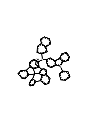 CCc1ccc2cccc3c2c1C1(c2ccccc2-c2ccc(N(c4ccc5ccccc5c4)c4ccc5c(c4)c4ccccc4n5-c4ccccc4)cc21)c1ccccc1-3